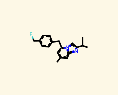 Cc1cc(Cc2ccc(CF)cc2)n2cc(C(C)C)nc2c1